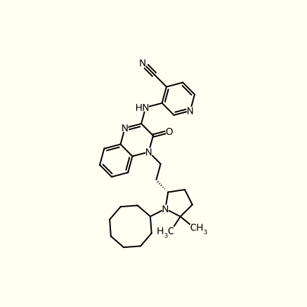 CC1(C)CC[C@@H](CCn2c(=O)c(Nc3cnccc3C#N)nc3ccccc32)N1C1CCCCCCC1